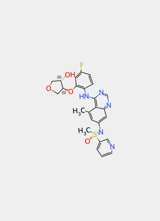 Cc1cc(N=S(C)(=O)c2cccnc2)cc2ncnc(Nc3ccc(F)cc3O[C@H]3COC[C@@H]3O)c12